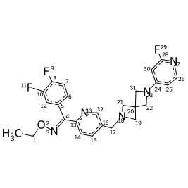 CCON=C(c1ccc(F)c(F)c1)c1ccc(CN2CC3(C2)CN(c2ccnc(F)c2)C3)cn1